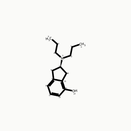 CCCN(CCC)[C@@H]1Cc2cccc(O)c2C1